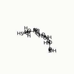 CP(O)(=S)OCCCCCCNC(=O)OCc1ccc(NC(=O)CNC(=O)CCCCC(=O)N2Cc3ccccc3-c3nnn(CCCCCC(=O)NCC(=O)Nc4ccc(CS)cc4)c3-c3ccccc32)cc1